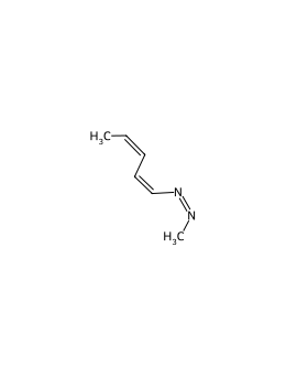 C\C=C/C=C\N=N/C